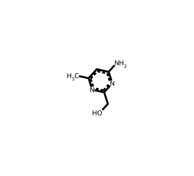 Cc1cc(N)nc(CO)n1